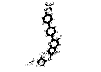 CO[C@@H]1[C@@H](CO)OC[C@H]1Oc1cc2nc(-c3ccc(-c4ccc(N=S(C)(C)=O)cc4)cc3)c(F)cc2[nH]1